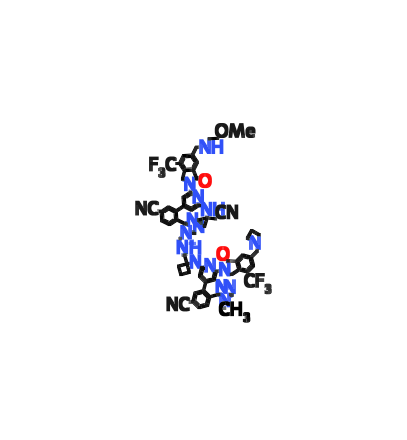 COCCNCc1cc2c(c(C(F)(F)F)c1)CN(c1cc(-c3cc(C#N)ccc3-c3nncn3C[N+]#CC3(Nc4cc(-c5cc(C#N)ccc5-c5nncn5C)cc(N5Cc6c(cc(CN7CCC7)cc6C(F)(F)F)C5=O)n4)CCC3)cc(NC3(CC#N)CC3)n1)C2=O